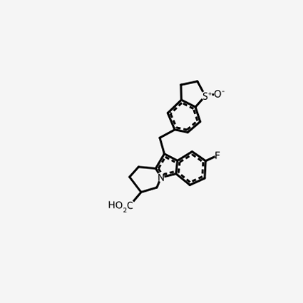 O=C(O)C1CCc2c(Cc3ccc4c(c3)CC[S+]4[O-])c3cc(F)ccc3n2C1